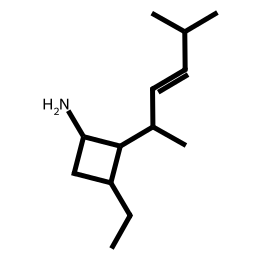 CCC1CC(N)C1C(C)C=CC(C)C